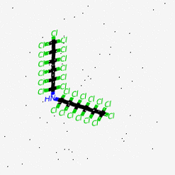 ClC(Cl)(Cl)C(Cl)(Cl)C(Cl)(Cl)C(Cl)(Cl)C(Cl)(Cl)C(Cl)(Cl)NC(Cl)(Cl)C(Cl)(Cl)C(Cl)(Cl)C(Cl)(Cl)C(Cl)(Cl)C(Cl)(Cl)Cl